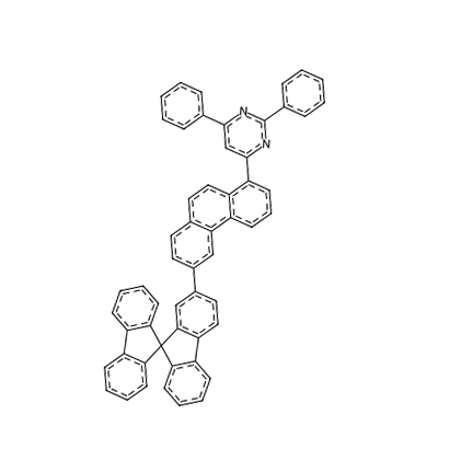 c1ccc(-c2cc(-c3cccc4c3ccc3ccc(-c5ccc6c(c5)C5(c7ccccc7-c7ccccc75)c5ccccc5-6)cc34)nc(-c3ccccc3)n2)cc1